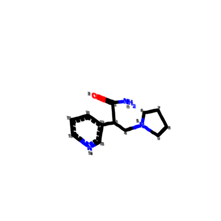 NC(=O)C(CN1CCCC1)c1cccnc1